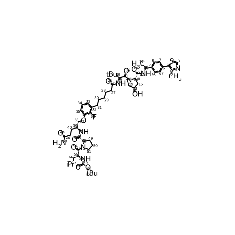 Cc1ncsc1-c1ccc([C@H](C)NC(=O)[C@@H]2C[C@@H](O)CN2C(=O)[C@@H](NC(=O)CCCCCc2cccc(OC[C@H](CCC(N)=O)NC(=O)[C@@H]3CCCN3C(=O)[C@H](CC(C)C)NC(=O)OC(C)(C)C)c2F)C(C)(C)C)cc1